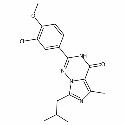 COc1ccc(-c2nn3c(CC(C)C)nc(C)c3c(=O)[nH]2)cc1Cl